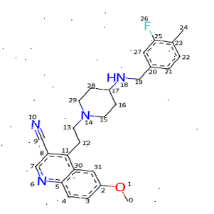 COc1ccc2ncc(C#N)c(CCN3CCC(NCc4ccc(C)c(F)c4)CC3)c2c1